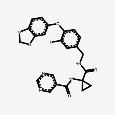 O=C(NC1(C(=O)NCc2ccc(Oc3ccc4c(c3)OCO4)c(F)c2)CC1)c1cncnc1